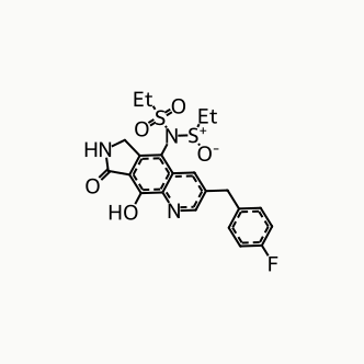 CC[S+]([O-])N(c1c2c(c(O)c3ncc(Cc4ccc(F)cc4)cc13)C(=O)NC2)S(=O)(=O)CC